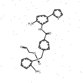 Nc1ccc(-c2cccs2)cc1NC(=O)c1ccc(CP(=O)(OCC=O)c2ccccc2N)cc1